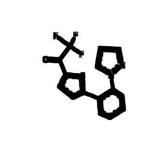 O=C(c1ccc(-c2ccccc2-n2cccn2)s1)C(F)(F)F